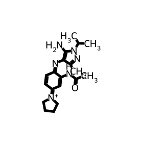 CC(=O)NC1=CC(=[N+]2CCCC2)C=C/C1=N/c1c(C)nn(C(C)C)c1N